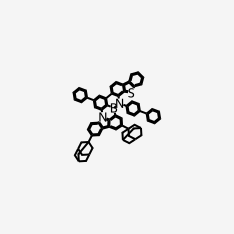 c1ccc(-c2ccc(N3B4c5c(cc(-c6ccccc6)cc5-n5c6ccc(C78CC9CC(CC(C9)C7)C8)cc6c6cc(C78CC9CC(CC(C9)C7)C8)cc4c65)-c4ccc5c(sc6ccccc65)c43)cc2)cc1